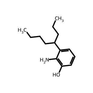 CCCCC(CCC)c1cccc(O)c1N